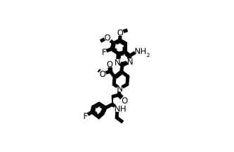 CCN[C@H](CC(=O)N1CCC(c2nc(N)c3cc(OC)c(OC)c(F)c3n2)=C(C(=O)OC)C1)c1ccc(F)cc1